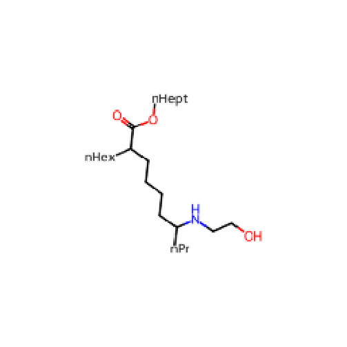 CCCCCCCOC(=O)C(CCCCCC)CCCCC(CCC)NCCO